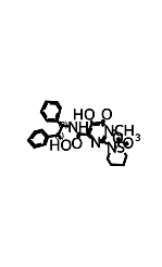 Cn1c(N2CCCCS2(=O)=O)nc(C(=O)N[C@H](c2ccccc2)[C@@H](O)c2ccccc2)c(O)c1=O